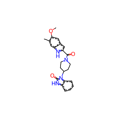 COc1cc2cc(C(=O)N3CCC(n4c(=O)[nH]c5ccccc54)CC3)[nH]c2cc1C